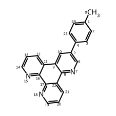 Cc1ccc(-c2cnc3c(c2)c2cccnc2c2ncccc32)cc1